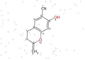 C=C1CCc2cc(C#N)c(O)cc2O1